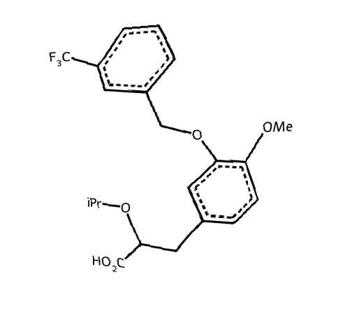 COc1ccc(CC(OC(C)C)C(=O)O)cc1OCc1cccc(C(F)(F)F)c1